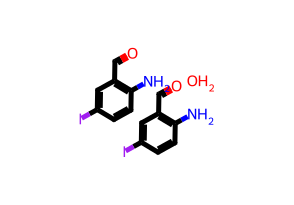 Nc1ccc(I)cc1C=O.Nc1ccc(I)cc1C=O.O